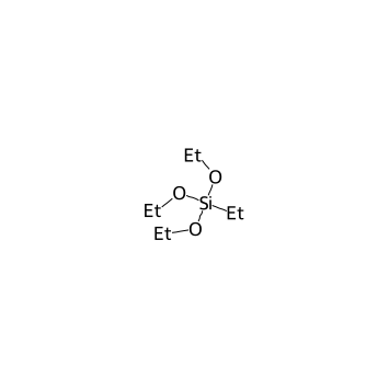 [CH2]C[Si](OCC)(OCC)OCC